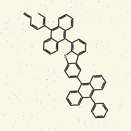 C=C/C=C\C(=C/C)c1c2ccccc2c(-c2cccc3c2sc2ccc(-c4c5ccccc5c(-c5ccccc5)c5ccccc45)cc23)c2ccccc12